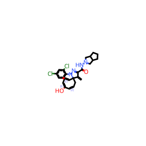 C=C1C(C(=O)NN2CC3CCCC3C2)=NN(c2ccc(Cl)cc2Cl)C12/C=C/C=C(O)\C=C/C2